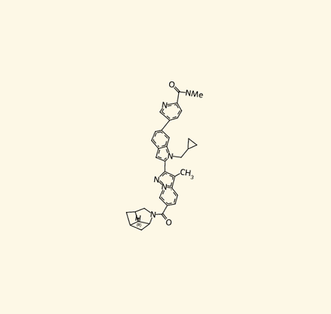 CNC(=O)c1ccc(-c2ccc3cc(-c4nn5cc(C(=O)N6CC7CC8CC6[C@H]87)ccc5c4C)n(CC4CC4)c3c2)cn1